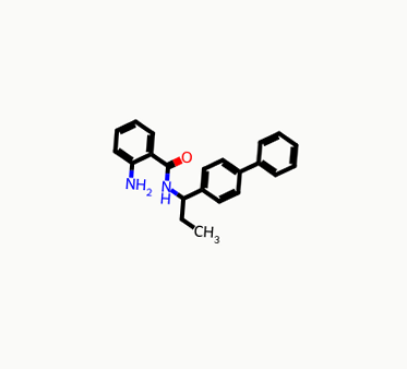 CCC(NC(=O)c1ccccc1N)c1ccc(-c2ccccc2)cc1